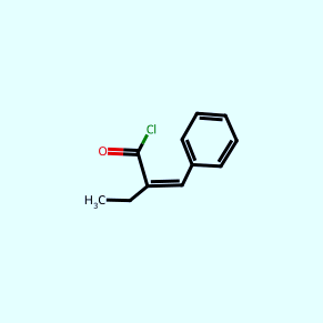 CCC(=Cc1ccccc1)C(=O)Cl